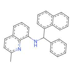 Cc1ccc2cccc(NC(c3ccccc3)c3cccc4ccccc34)c2n1